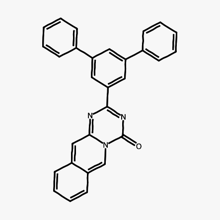 O=c1nc(-c2cc(-c3ccccc3)cc(-c3ccccc3)c2)nc2cc3ccccc3cn12